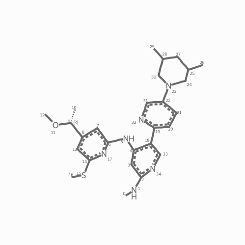 CNc1cc(Nc2cc([C@@H](C)OC)cc(SC)n2)c(-c2ccc(N3CC(C)CC(C)C3)cn2)cn1